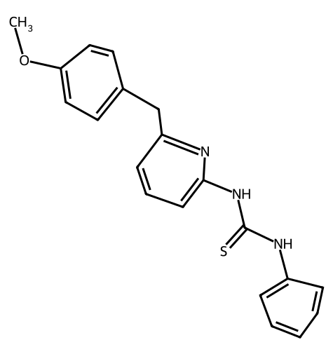 COc1ccc(Cc2cccc(NC(=S)Nc3ccccc3)n2)cc1